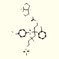 COc1ccc(S(=O)(=O)C(N)(CC(C)(C)CCNS(C)(=O)=O)[C@H](O)[C@H](Cc2ccccc2)NC(=O)O[C@@H]2CO[C@@H]3OCC[C@@H]32)cc1